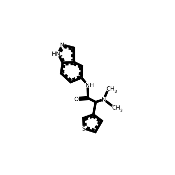 CN(C)C(C(=O)Nc1ccc2[nH]ncc2c1)c1ccsc1